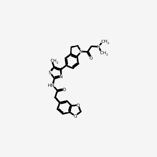 Cc1sc(NC(=O)Cc2ccc3c(c2)OCO3)nc1-c1ccc2c(c1)CCN2C(=O)CN(C)C